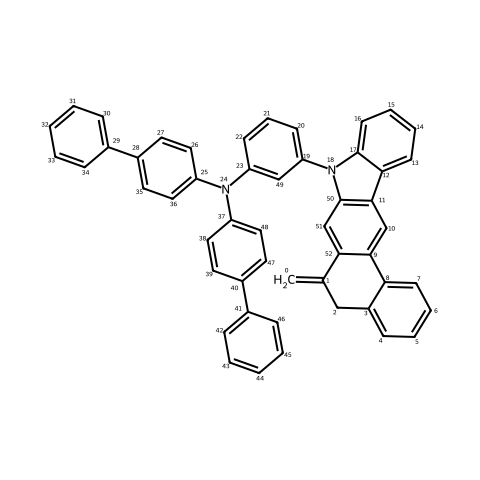 C=C1Cc2ccccc2-c2cc3c4ccccc4n(-c4cccc(N(c5ccc(-c6ccccc6)cc5)c5ccc(-c6ccccc6)cc5)c4)c3cc21